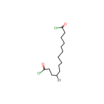 CCC(CCCCCCCCCC(=O)Cl)CCC(=O)Cl